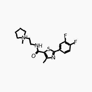 Cc1nc(-c2ccc(F)c(F)c2)sc1C(=O)NCC[N+]1(C)CCCC1